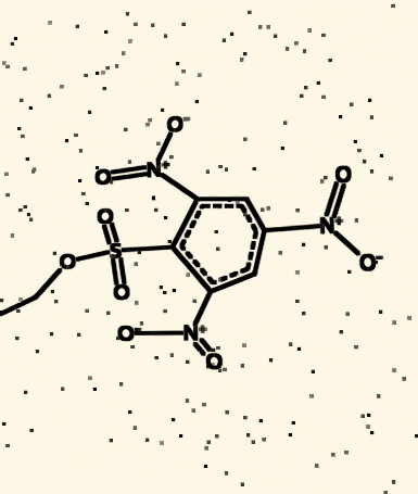 CCOS(=O)(=O)c1c([N+](=O)[O-])cc([N+](=O)[O-])cc1[N+](=O)[O-]